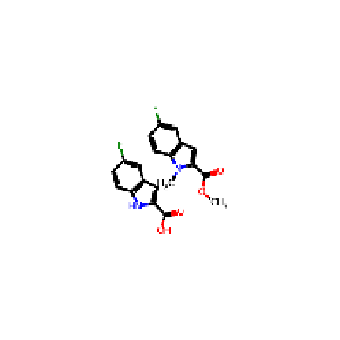 COC(=O)c1cc2cc(F)ccc2n1C.O=C(O)c1cc2cc(F)ccc2[nH]1